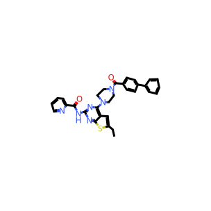 CCc1cc2c(N3CCN(C(=O)c4ccc(-c5ccccc5)cc4)CC3)nc(NC(=O)c3ccccn3)nc2s1